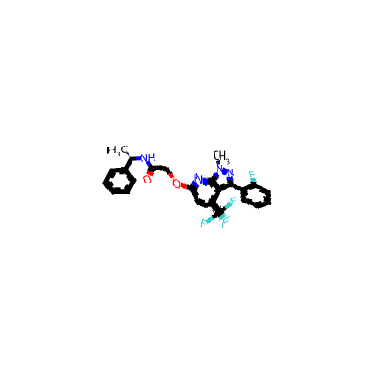 C[C@H](NC(=O)COc1cc(C(F)(F)F)c2c(-c3ccccc3F)nn(C)c2n1)c1ccccc1